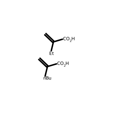 C=C(CC)C(=O)O.C=C(CCCC)C(=O)O